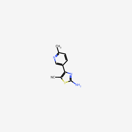 Cc1ccc(-c2nc(N)sc2C#N)cn1